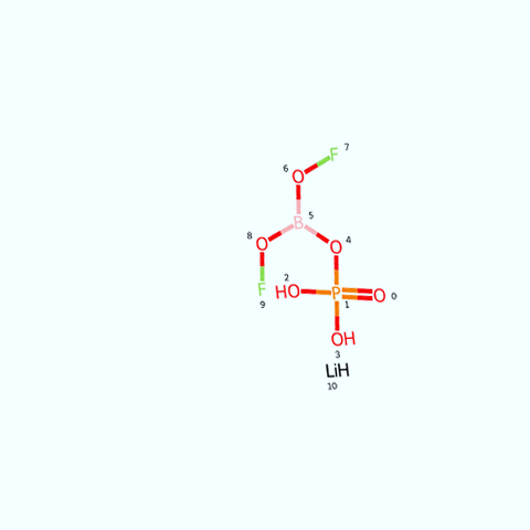 O=P(O)(O)OB(OF)OF.[LiH]